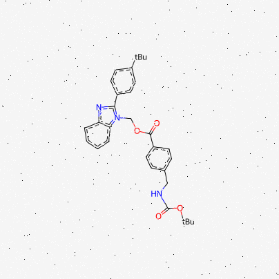 CC(C)(C)OC(=O)NCc1ccc(C(=O)OCn2c(-c3ccc(C(C)(C)C)cc3)nc3ccccc32)cc1